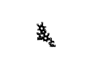 CCCCOC(C)Oc1ccnc(-c2nc3cc(C)c(C)cc3n2[S+](C)[O-])c1C.[NaH]